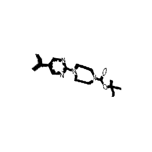 CC(C)c1cnc(N2CCN(C(=O)OC(C)(C)C)CC2)nc1